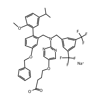 COc1ccc(C(C)C)cc1-c1ccc(OCc2ccccc2)cc1CN(Cc1cc(C(F)(F)F)cc(C(F)(F)F)c1)c1ncc(OCCCC(=O)[O-])cn1.[Na+]